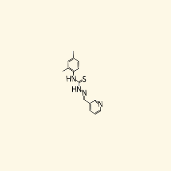 Cc1ccc(NC(=S)NN=Cc2cccnc2)c(C)c1